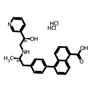 C[C@H](Cc1ccc(-c2cccc3c(C(=O)O)cccc23)cc1)NC[C@H](O)c1cccnc1.Cl.Cl